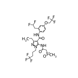 CCc1nn(CCCC(F)(F)F)c(NC(=O)C[S+](C)[O-])c1C(=O)Nc1ccc(OCC(F)(F)F)cc1CC(F)F